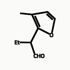 CCC(C=O)c1occc1C